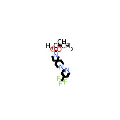 CC(C)(C)OC(=O)N1CCC2(CCN(c3cc(C(F)(F)F)ccn3)CC2)C1